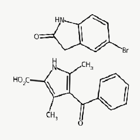 Cc1[nH]c(C(=O)O)c(C)c1C(=O)c1ccccc1.O=C1Cc2cc(Br)ccc2N1